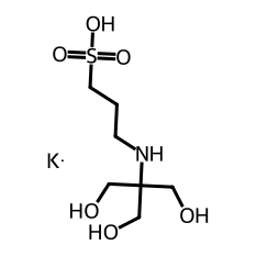 O=S(=O)(O)CCCNC(CO)(CO)CO.[K]